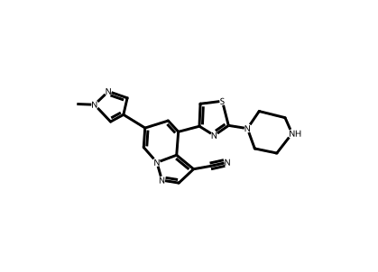 Cn1cc(-c2cc(-c3csc(N4CCNCC4)n3)c3c(C#N)cnn3c2)cn1